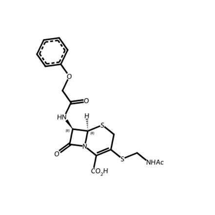 CC(=O)NCSC1=C(C(=O)O)N2C(=O)[C@@H](NC(=O)COc3ccccc3)[C@H]2SC1